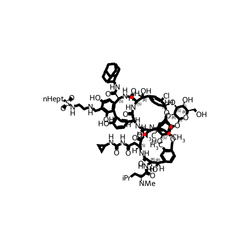 CCCCCCCS(=O)(=O)NCCNCc1c(O)cc2c(c1O)-c1cc(ccc1O)[C@H]1NC(=O)[C@@H]3NC(=O)[C@H](CC(=O)NC(=O)NC4CC4)NC(=O)[C@H](NC(=O)[C@@H](CC(C)C)NC)[C@H](O)c4ccc(c(C)c4)Oc4cc3cc(c4O[C@@H]3O[C@H](CO)[C@@H](O)[C@H](O)[C@H]3O[C@H]3C[C@](C)(N)[C@H](O)[C@H](C)O3)O[C@@H]3CC=C(C=C3Cl)[C@@H](O)[C@H](NC1=O)C(=O)N[C@@H]2C(=O)NC1C2CC3CC(C2)CC1C3